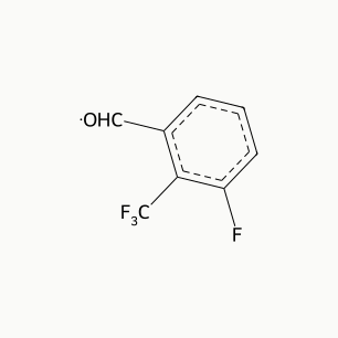 O=[C]c1cccc(F)c1C(F)(F)F